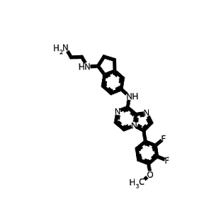 COc1ccc(-c2cnc3c(Nc4ccc5c(c4)CCC5NCCN)nccn23)c(F)c1F